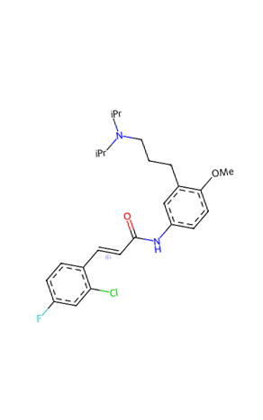 COc1ccc(NC(=O)/C=C/c2ccc(F)cc2Cl)cc1CCCN(C(C)C)C(C)C